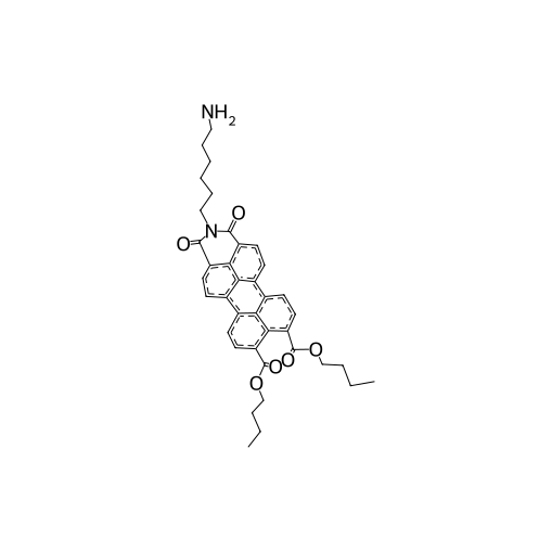 CCCCOC(=O)c1ccc2c3ccc4c5c(ccc(c6ccc(C(=O)OCCCC)c1c26)c53)C(=O)N(CCCCCCN)C4=O